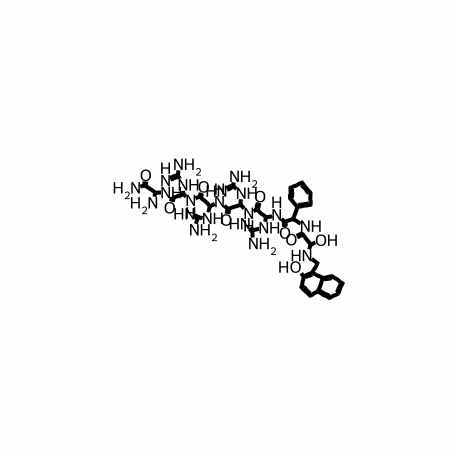 N=C(N)NC(NC(=O)C(NC(=N)N)NC(=O)C(NC(=N)N)NC(=O)C(NC(=N)N)NC(=O)C(NC(=O)C(O)NCc1c(O)ccc2ccccc12)c1ccccc1)C(=O)NC(N)C(N)=O